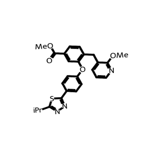 COC(=O)c1ccc(Cc2cccnc2OC)c(Oc2ccc(-c3nnc(C(C)C)s3)cc2)c1